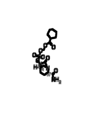 NC(=O)[C@@H]1CC[C@@H]2CN1C(=O)N2OS(=O)(=O)OCOC(=O)C1CCCCC1